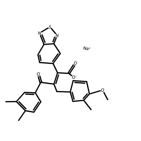 COc1ccc(C/C(C(=O)c2ccc(C)c(C)c2)=C(\C(=O)[O-])c2ccc3nsnc3c2)cc1C.[Na+]